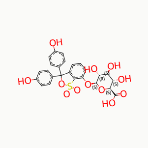 O=C(O)[C@H]1O[C@@H](Oc2cccc3c2S(=O)(=O)OC3(c2ccc(O)cc2)c2ccc(O)cc2)[C@H](O)[C@@H](O)[C@@H]1O